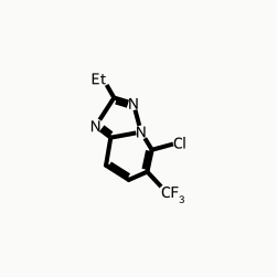 CCc1nc2ccc(C(F)(F)F)c(Cl)n2n1